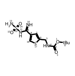 CC(C)(C)OC(=O)NCc1cc(C(=N)NS(N)(=O)=O)cs1